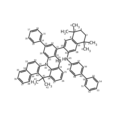 CC1(C)CCC(C)(C)c2cc(-c3cc(-c4ccccc4)cc4c3Bc3cccc5c3N4c3ccc4ccccc4c3C5(C)C)c(Nc3ccc(-c4ccccc4)cc3)cc21